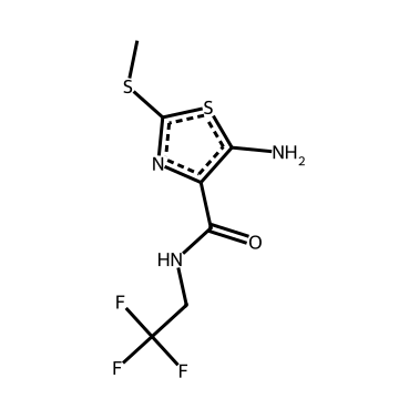 CSc1nc(C(=O)NCC(F)(F)F)c(N)s1